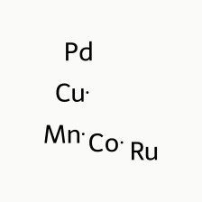 [Co].[Cu].[Mn].[Pd].[Ru]